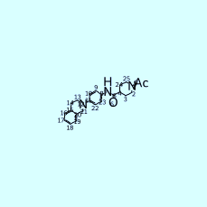 CC(=O)N1CCC(C(=O)Nc2ccc(N3CCc4ccccc4C3)cc2)CC1